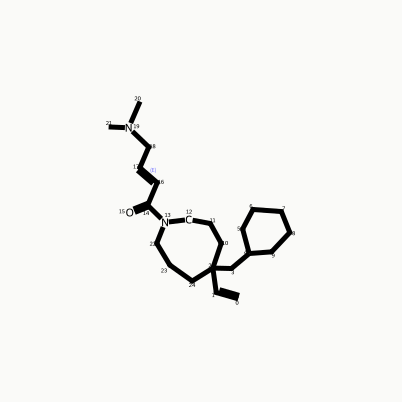 C=CC1(CC2CCCCC2)CCCN(C(=O)/C=C/CN(C)C)CCC1